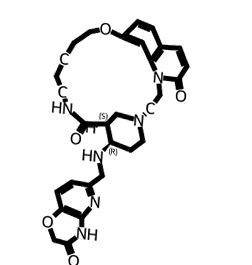 O=C1COc2ccc(CN[C@@H]3CCN4CCn5c(=O)ccc6ccc(cc65)OCCCCCNC(=O)[C@H]3C4)nc2N1